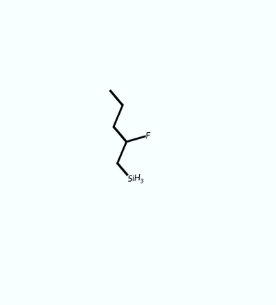 CCCC(F)C[SiH3]